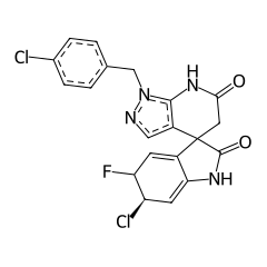 O=C1CC2(C(=O)NC3=C[C@@H](Cl)C(F)C=C32)c2cnn(Cc3ccc(Cl)cc3)c2N1